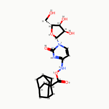 O=C(ONc1ccn([C@@H]2O[C@H](CO)[C@@H](O)[C@H]2O)c(=O)n1)C12CC3CC(CC(C3)C1)C2